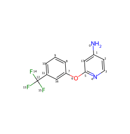 Nc1ccnc(Oc2cccc(C(F)(F)F)c2)c1